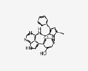 Cc1cc(-c2ccccc2)c([C@H](C)Nc2ncnc3[nH]cc(-c4ccccc4O)c23)[nH]1